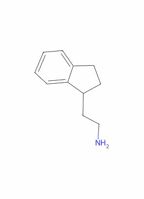 NCCC1CCc2ccccc21